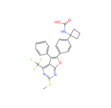 CSc1nc(C(F)(F)F)c2c(-c3ccccc3)c(-c3ccc(C4(NC(=O)O)CCC4)cc3)oc2n1